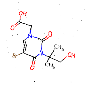 CC(C)(CO)n1c(=O)c(Br)cn(CC(=O)O)c1=O